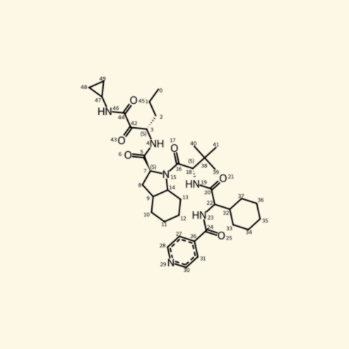 CCC[C@H](NC(=O)[C@@H]1CC2CCCCC2N1C(=O)[C@@H](NC(=O)C(NC(=O)c1ccncc1)C1CCCCC1)C(C)(C)C)C(=O)C(=O)NC1CC1